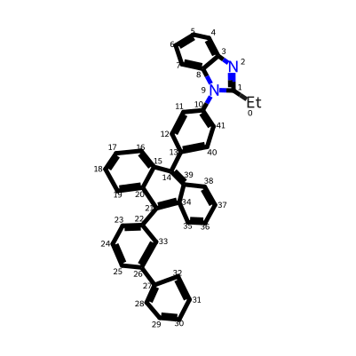 CCc1nc2ccccc2n1-c1ccc(-c2c3ccccc3c(-c3cccc(-c4ccccc4)c3)c3ccccc23)cc1